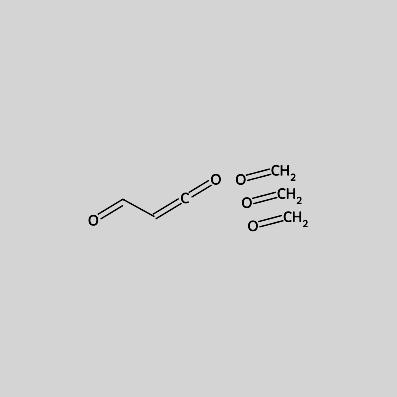 C=O.C=O.C=O.O=C=CC=O